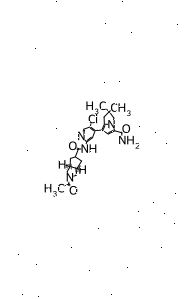 CC(=O)N1C[C@H]2CC(C(=O)Nc3cc(-c4cc(C(N)=O)n5c4CC(C)(C)C5)c(Cl)cn3)C[C@H]2C1